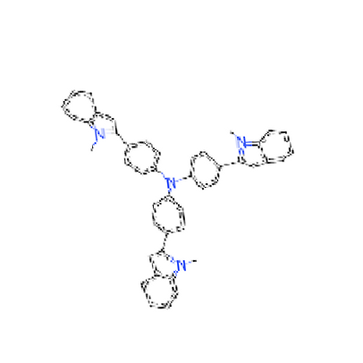 Cn1c(-c2ccc(N(c3ccc(-c4cc5ccccc5n4C)cc3)c3ccc(-c4cc5ccccc5n4C)cc3)cc2)cc2ccccc21